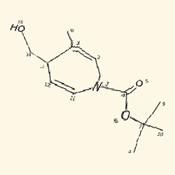 CC1=CN(C(=O)OC(C)(C)C)C=CC1CO